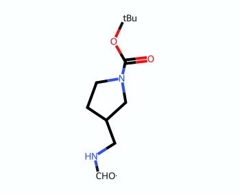 CC(C)(C)OC(=O)N1CCC(CN[C]=O)C1